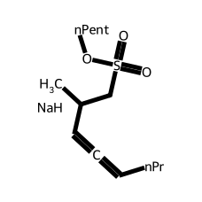 CCCC=C=CC(C)CS(=O)(=O)OCCCCC.[NaH]